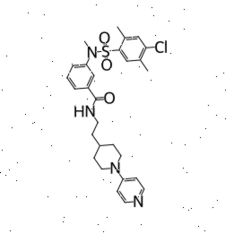 Cc1cc(S(=O)(=O)N(C)c2cccc(C(=O)NCCC3CCN(c4ccncc4)CC3)c2)c(C)cc1Cl